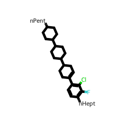 CCCCCCCc1ccc(C2=CCC(C3CCC(C4CCC(CCCCC)CC4)CC3)CC2)c(Cl)c1F